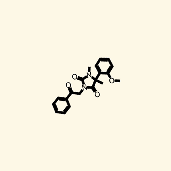 COc1ccccc1C1(C)C(=O)N(CC(=O)c2ccccc2)C(=O)N1C